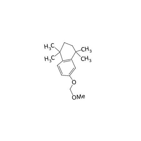 COCOc1ccc2c(c1)C(C)(C)CCC2(C)C